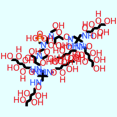 CC(O)C(O)C(O)C(O)CONCC(CNOCC(O)C(O)C(O)C(O)CO)(CNOCC(O)C(O)C(O)C(O)CO)CNC(=O)CC(C(=O)O)N(CCN(CCN(CC(=O)O)C(CCONCC(CNC(=O)C(O)C(O)C(O)C(O)CO)(CNC(=O)C(O)C(O)C(O)C(O)CO)CNC(=O)C(O)C(O)C(O)C(O)CO)C(=O)O)CP(=O)(O)O)CC(=O)O